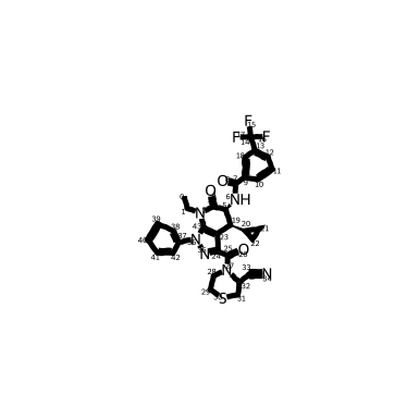 CCN1C(=O)[C@@H](NC(=O)c2cccc(C(F)(F)F)c2)[C@@H](C2CC2)c2c(C(=O)N3CCSCC3C#N)nn(-c3ccccc3)c21